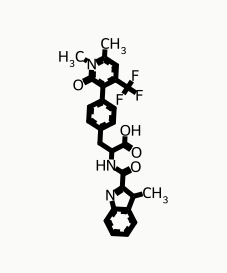 Cc1cc(C(F)(F)F)c(-c2ccc(CC(NC(=O)C3=Nc4ccccc4C3C)C(=O)O)cc2)c(=O)n1C